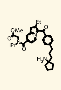 CCc1cc2cc(C(=O)N(CC(=O)OC)C(C)C)ccn2c1C(=O)c1ccc(CCCC2(N)CCCC2)cc1